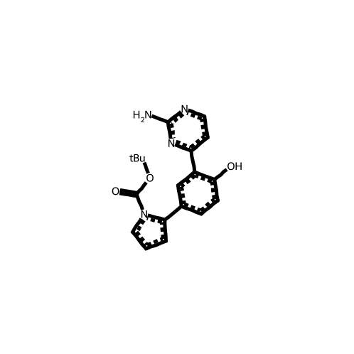 CC(C)(C)OC(=O)n1cccc1-c1ccc(O)c(-c2ccnc(N)n2)c1